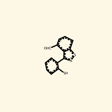 O=Cc1cccc2snc(-c3ccccc3S)c12